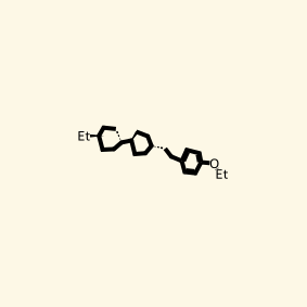 CCOc1ccc(CC[C@H]2CC[C@H]([C@H]3CC[C@H](CC)CC3)CC2)cc1